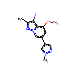 COc1cc(-c2cnn(C)c2)cn2nc(C)c(I)c12